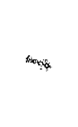 CS(=O)(=O)n1cc2c(n1)CN([C@H]1CNC(c3cc(F)c(F)cc3F)[C@@H](N)C1)C2